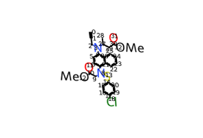 C#CCN(c1ccc(N(CC(=O)OC)Sc2ccc(Cl)cc2)c2ccccc12)C(C)CC(=O)OC